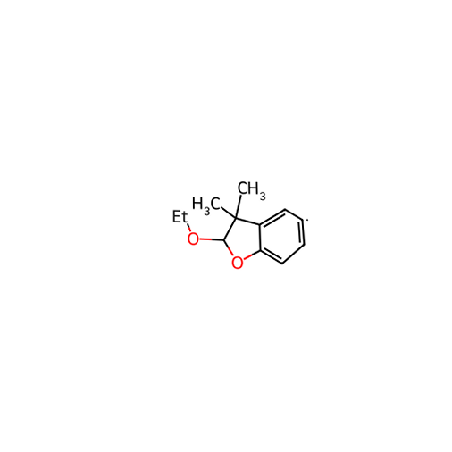 CCOC1Oc2cc[c]cc2C1(C)C